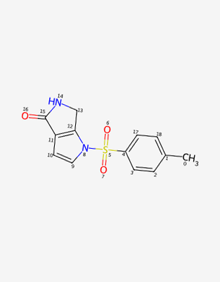 Cc1ccc(S(=O)(=O)n2ccc3c2CNC3=O)cc1